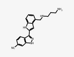 N#Cc1ccc2c(-c3cc4c(CNCCCN)cccc4[nH]3)n[nH]c2c1